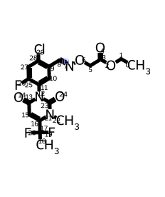 CCOC(=O)CO/N=C/c1cc(-n2c(=O)cc(C(C)(F)F)n(C)c2=O)c(F)cc1Cl